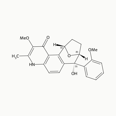 COc1ccccc1[C@@]1(O)c2ccc3[nH]c(C)c(OC)c(=O)c3c2[C@@H]2CC[C@H]1O2